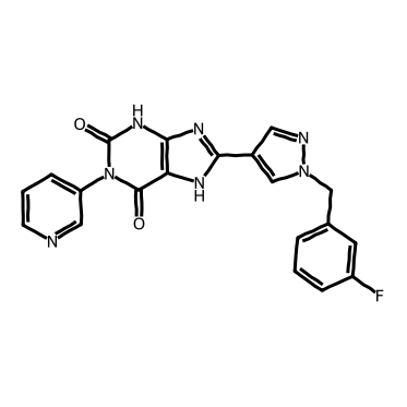 O=c1[nH]c2nc(-c3cnn(Cc4cccc(F)c4)c3)[nH]c2c(=O)n1-c1cccnc1